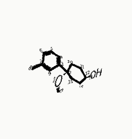 CO[C@]1(c2cccc(C)c2)CC[C@@H](O)CC1